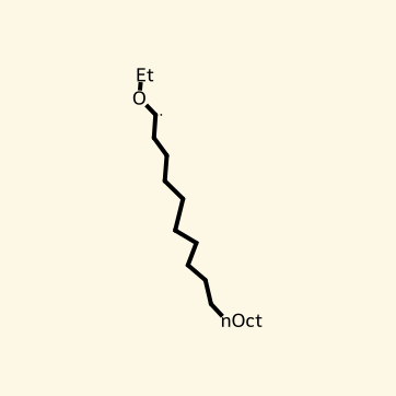 CCCCCCCCCCCCCCCCC[CH]OCC